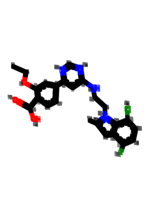 CCOc1cc(-c2cc(NCCn3c(C)cc4c(F)ccc(Cl)c43)ncn2)ccc1C(=O)O